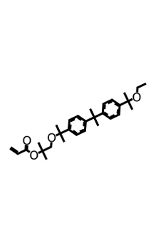 C=CC(=O)OC(C)(C)COC(C)(C)c1ccc(C(C)(C)c2ccc(C(C)(C)OCC)cc2)cc1